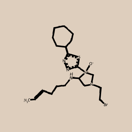 CC=CCCCNC1CN(CCBr)C[N+]1([O-])c1nnc(C2CCCCCC2)s1